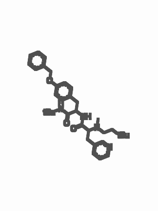 CN(CCC(C)(C)C)C(Cc1cccnc1)C(=O)NC(Cc1ccc(OCc2ccccc2)cc1)C(=O)NC(C)(C)C